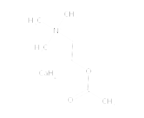 CC(=O)OCC[N+](C)(C)C.[CaH2]